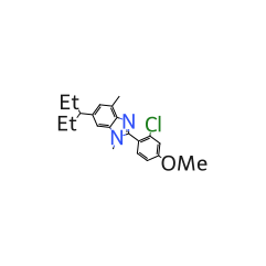 CCC(CC)c1cc(C)c2nc(-c3ccc(OC)cc3Cl)n(C)c2c1